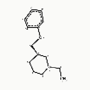 [CH2]CN1CCC[C@@H](COc2ccccc2)C1